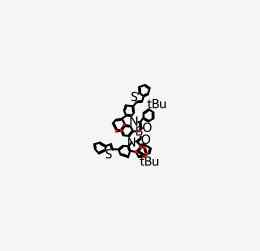 Cc1cc2c3c(c1)N(c1cc(-c4cc5ccccc5s4)ccc1-c1ccccc1)c1c(oc4ccc(C(C)(C)C)cc14)B3c1oc3ccc(C(C)(C)C)cc3c1N2c1cc(-c2cc3ccccc3s2)ccc1-c1ccccc1